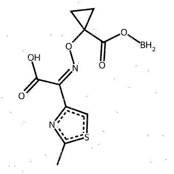 BOC(=O)C1(O/N=C(\C(=O)O)c2csc(C)n2)CC1